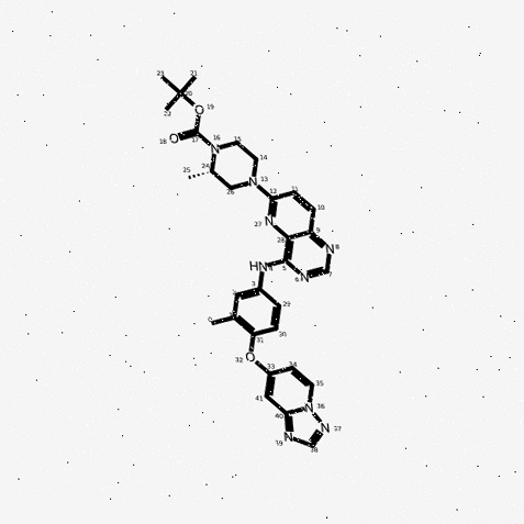 Cc1cc(Nc2ncnc3ccc(N4CCN(C(=O)OC(C)(C)C)[C@@H](C)C4)nc23)ccc1Oc1ccn2ncnc2c1